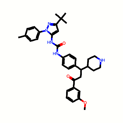 COc1cccc(C(=O)CC(c2ccc(NC(=O)Nc3cc(C(C)(C)C)nn3-c3ccc(C)cc3)cc2)C2CCNCC2)c1